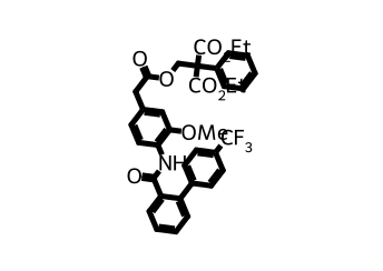 CCOC(=O)C(COC(=O)Cc1ccc(NC(=O)c2ccccc2-c2ccc(C(F)(F)F)cc2)c(OC)c1)(C(=O)OCC)c1ccccc1